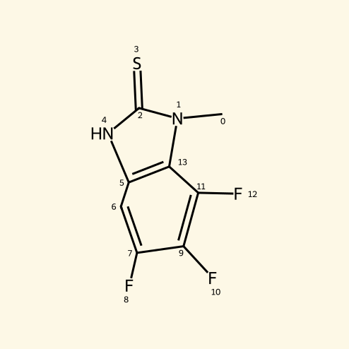 Cn1c(=S)[nH]c2cc(F)c(F)c(F)c21